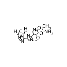 CC(Oc1cc2c(cn1)-c1nc(-c3ncnn3C(C)C)cn1CCO2)C(N)=O